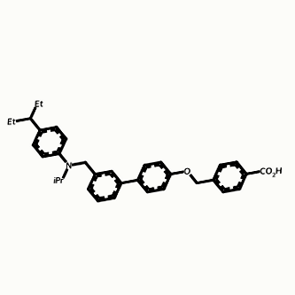 CCC(CC)c1ccc(N(Cc2cccc(-c3ccc(OCc4ccc(C(=O)O)cc4)cc3)c2)C(C)C)cc1